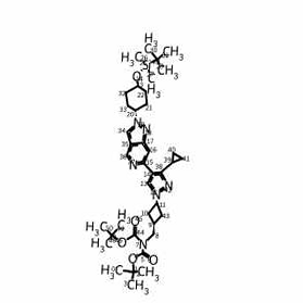 CC(C)(C)OC(=O)N(C[C@H]1C[C@H](n2cc(-c3cc4nn([C@H]5CC[C@H](O[Si](C)(C)C(C)(C)C)CC5)cc4cn3)c(C3CC3)n2)C1)C(=O)OC(C)(C)C